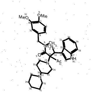 COc1ccc(CN(C)C(=O)C(C(C)=O)(C(N)c2c[nH]c3ccccc23)N2CCC(N3CCCCC3)CC2)cc1OC